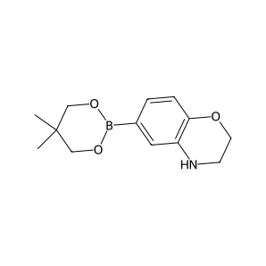 CC1(C)COB(c2ccc3c(c2)NCCO3)OC1